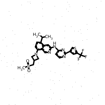 CC(C)c1ccc(N2CC(CS(C)(=O)=O)C2)c2cnc(Nc3ccnc(-c4csc(C(F)(F)F)c4)n3)cc12